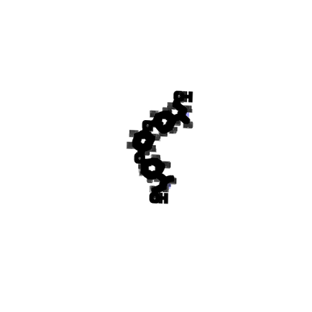 C/C(=C/CO)c1ccc(Oc2ccc(Oc3ccc(/C(C)=C\CO)cc3)cc2)cc1